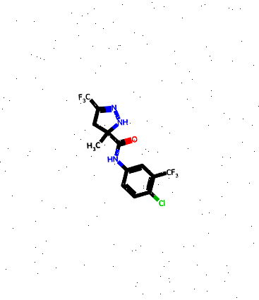 CC1(C(=O)Nc2ccc(Cl)c(C(F)(F)F)c2)CC(C(F)(F)F)=NN1